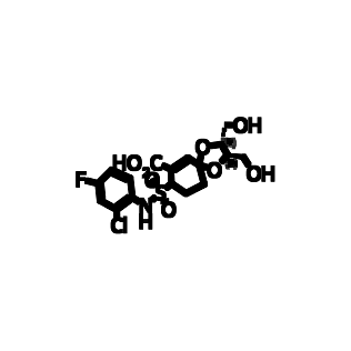 O=C(O)C1=CC2(CCC1S(=O)(=O)Nc1ccc(F)cc1Cl)O[C@H](CO)[C@@H](CO)O2